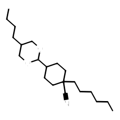 CCCCCCC1(C#N)CCC(C2OCC(CCCC)CO2)CC1